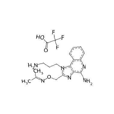 CC(C)=NOCc1nc2c(N)nc3ccccc3c2n1CCCN.O=C(O)C(F)(F)F